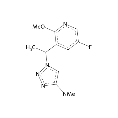 CNc1cn(C(C)c2cc(F)cnc2OC)nn1